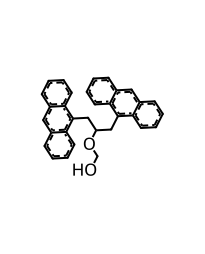 OCOC(Cc1c2ccccc2cc2ccccc12)Cc1c2ccccc2cc2ccccc12